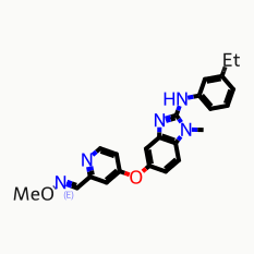 CCc1cccc(Nc2nc3cc(Oc4ccnc(/C=N/OC)c4)ccc3n2C)c1